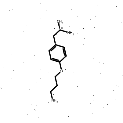 C[C@@H](N)Cc1ccc(OCCCN)cc1